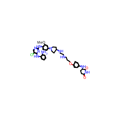 COc1cc(N2CCC(NCCNCCCOc3ccc(NC4CCC(=O)NC4=O)cc3)CC2)ccc1Nc1ncc(Cl)c(Nc2ccccc2N)n1